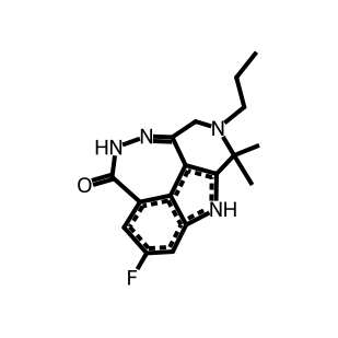 CCCN1CC2=NNC(=O)c3cc(F)cc4[nH]c(c2c34)C1(C)C